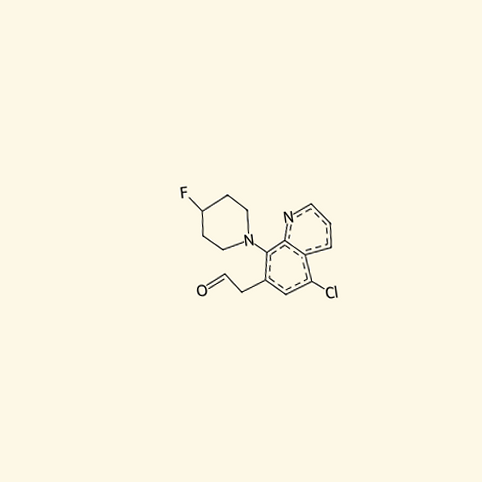 O=CCc1cc(Cl)c2cccnc2c1N1CCC(F)CC1